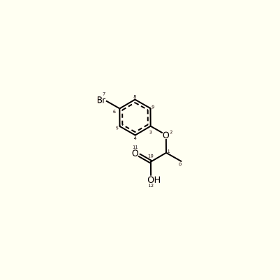 CC(Oc1ccc(Br)cc1)C(=O)O